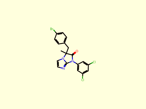 CC1(Cc2ccc(Br)cc2)C(=O)N(c2cc(Cl)cc(Cl)c2)c2nccn21